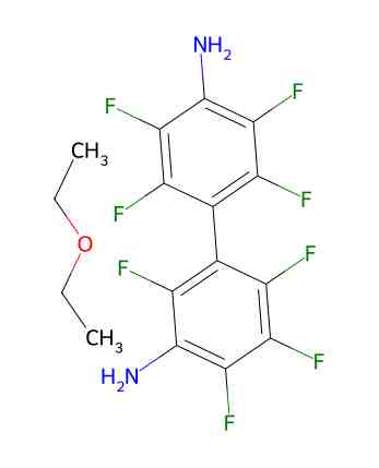 CCOCC.Nc1c(F)c(F)c(-c2c(F)c(N)c(F)c(F)c2F)c(F)c1F